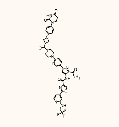 NC(=O)c1nn(-c2ccc(N3CCN(C(=O)C4CN(c5ccc(N6CCC(=O)NC6=O)cc5)C4)CC3)nc2)cc1NC(=O)c1coc(-c2ccnc(NCC(F)(F)F)c2)n1